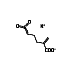 C=C(CCC=S(=O)=O)C(=O)[O-].[K+]